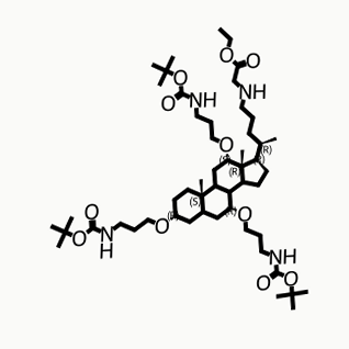 CCOC(=O)CNCCC[C@@H](C)[C@H]1CCC2C3C(C[C@H](OCCCNC(=O)OC(C)(C)C)[C@@]21C)[C@@]1(C)CC[C@@H](OCCCNC(=O)OC(C)(C)C)CC1C[C@H]3OCCCNC(=O)OC(C)(C)C